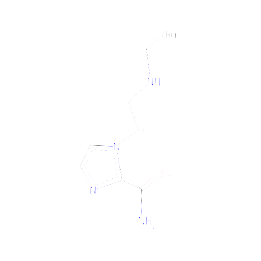 CC(C)(C)CNCCn1c[c]nc1C(N)=O